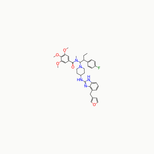 CCC(c1ccc(F)cc1)C(N1CCC(Nc2nc3c(Cc4ccoc4)cccc3[nH]2)CC1)N(C)C(=O)c1cc(OC)c(OC)c(OC)c1